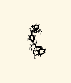 CC(C)[C@H]1CNc2cccc3cc(-c4nc5cc(C(=O)N6C[C@H]7CC[C@@H]6[C@@H]7N)cc(F)c5n4C)n1c23